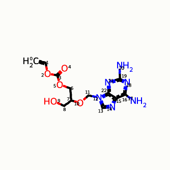 C=COC(=O)OCC(CO)OCn1cnc2c(N)nc(N)nc21